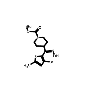 Cc1cc(Br)c(C(=NO)C2CCN(C(=O)OC(C)(C)C)CC2)s1